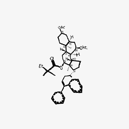 CCC(C)(C)C(=O)O[C@H]1C[C@H]2[C@@H]([C@H](OC(C)=O)C[C@@H]3C[C@H](OC(C)=O)CC[C@@]32C)[C@@H]2CC[C@H](C(C)CC=C(c3ccccc3)c3ccccc3)[C@@]12C